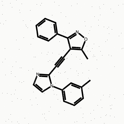 Cc1cccc(-n2ccnc2C#Cc2c(-c3ccccc3)noc2C)c1